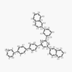 c1cncc(-c2ccc(-c3ccc(-c4cc(-c5ccc6ccccc6c5)nc(-c5cccc(-c6ccc7ccccc7c6)c5)n4)cc3)cc2)c1